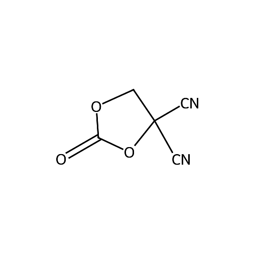 N#CC1(C#N)COC(=O)O1